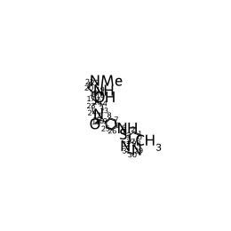 C/C=C\C(SNc1ccc(C(=O)N2CCC(O)(CC(=N)/C=C\NC)CC2)cc1)=C1/CN=CC=N1